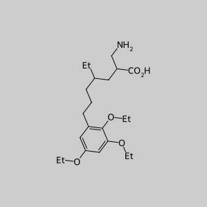 CCOc1cc(CCCC(CC)CC(CN)C(=O)O)c(OCC)c(OCC)c1